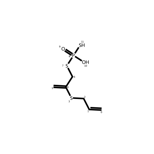 C=CCSC(=C)CSP(=O)(O)S